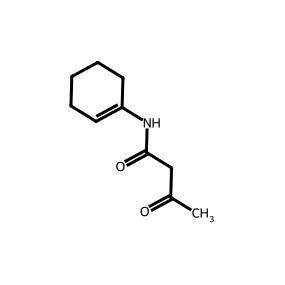 CC(=O)CC(=O)NC1=CCCCC1